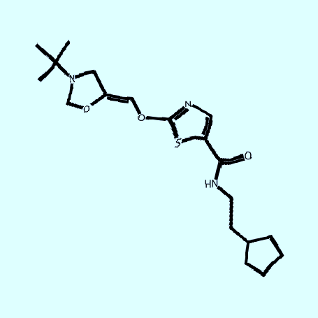 CC(C)(C)N1COC(=COc2ncc(C(=O)NCCC3CCCC3)s2)C1